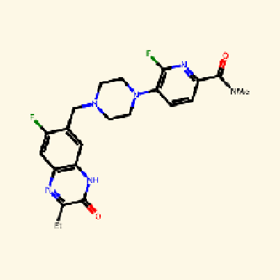 CCc1nc2cc(F)c(CN3CCN(c4ccc(C(=O)NC)nc4F)CC3)cc2[nH]c1=O